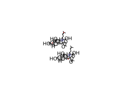 CC(=O)O[C@H]1C[C@@]2(C)[C@@H](C[C@@H](O)[C@H]3[C@@]4(C)CC[C@@H](O)[C@@H](C)[C@@H]4CC[C@@]32C)/C1=C(\CCC=C(C)C)C(=O)O.CC(=O)O[C@H]1C[C@@]2(C)[C@@H](C[C@@H](O)[C@H]3[C@@]4(C)CC[C@@H](O)[C@@H](C)[C@@H]4CC[C@@]32C)/C1=C(\CCC=C(C)C)C(=O)O